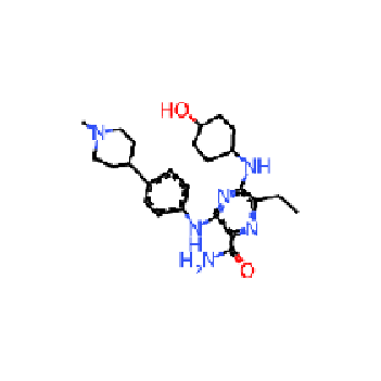 CCc1nc(C(N)=O)c(Nc2ccc(C3CCN(C)CC3)cc2)nc1NC1CCC(O)CC1